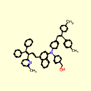 Cc1ccc(C(=Cc2ccc(N(c3ccc(CO)cc3)c3ccc(/C=C/C(=C(c4ccccc4)c4ccccc4)c4cccc(C)n4)c4ccccc34)cc2)c2ccc(C)cc2)cc1